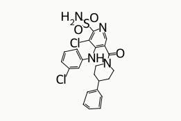 NS(=O)(=O)c1ncc(C(=O)N2CCC(c3ccccc3)CC2)c(Nc2cccc(Cl)c2)c1Cl